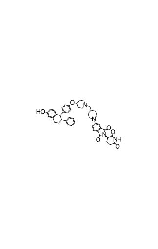 O=C1CCC(N2C(=O)c3ccc(N4CCC(CN5CCC(Oc6ccc([C@@H]7c8ccc(O)cc8CC[C@@H]7c7ccccc7)cc6)CC5)CC4)cc3C2=O)C(=O)N1